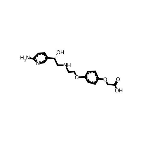 Nc1ccc([C@H](O)CNCCOc2ccc(OCC(=O)O)cc2)cn1